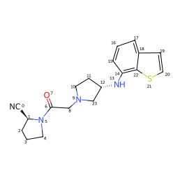 N#C[C@@H]1CCCN1C(=O)CN1CC[C@H](Nc2cccc3ccsc23)C1